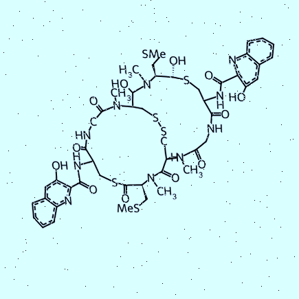 CSC[C@H]1C(=O)SCC(NC(=O)c2nc3ccccc3cc2O)C(=O)NCC(=O)N(C)C2CSSC[C@@H](C(=O)N1C)N(C)C(=O)CNC(=O)C(NC(=O)c1nc3ccccc3cc1O)CS[C@@H](O)[C@H](CSC)N(C)C2O